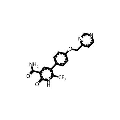 NC(=O)c1cc(-c2ccc(OCc3ccncn3)cc2)c(C(F)(F)F)[nH]c1=O